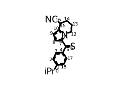 CC(C)c1ccc(C(=S)c2ccc3n2CCCC3C#N)cc1